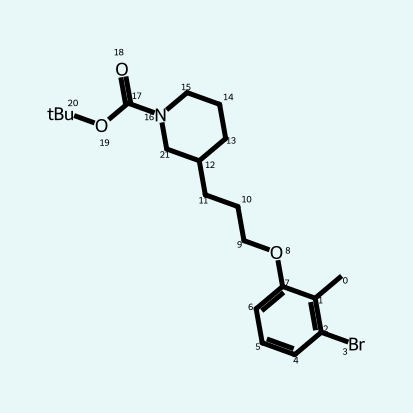 Cc1c(Br)cccc1OCCCC1CCCN(C(=O)OC(C)(C)C)C1